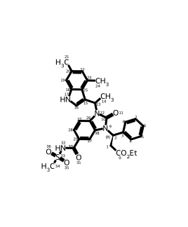 CCOC(=O)C[C@H](c1ccccc1)n1c(=O)n(C(C)c2c[nH]c3cc(C)cc(C)c23)c2ccc(C(=O)NS(C)(=O)=O)cc21